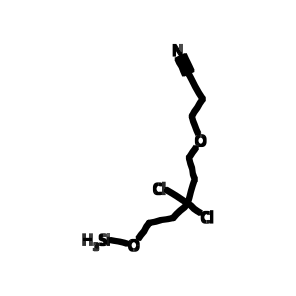 N#CCCOCCC(Cl)(Cl)CCO[SiH3]